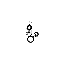 O=C(NC1CCCCCCC1N1CC=CC1)c1ccc(Br)cc1